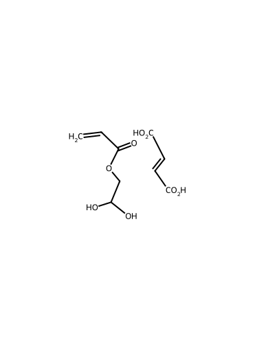 C=CC(=O)OCC(O)O.O=C(O)C=CC(=O)O